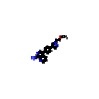 COCCn1cc(-c2ccc(-c3cnc(N)c4nc[c]cc34)cc2)cn1